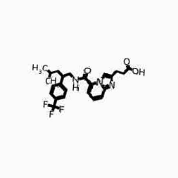 CC(C)CC(CNC(=O)c1cccc2nc(CCC(=O)O)cn12)c1ccc(C(F)(F)F)cc1